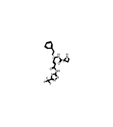 O=C(/C=C/[C@H](CCc1ccccc1)NC(=O)[C@@H]1CCN1)Nc1nnc(C(F)(F)F)s1